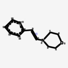 C(=C\N1CCOCC1)/c1ncccn1